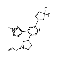 C=CCN1CCC(c2cnc(C3CCC(F)(F)C3)cc2-c2ccn(C)n2)C1